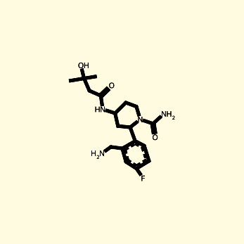 CC(C)(O)CC(=O)NC1CCN(C(N)=O)C(c2ccc(F)cc2CN)C1